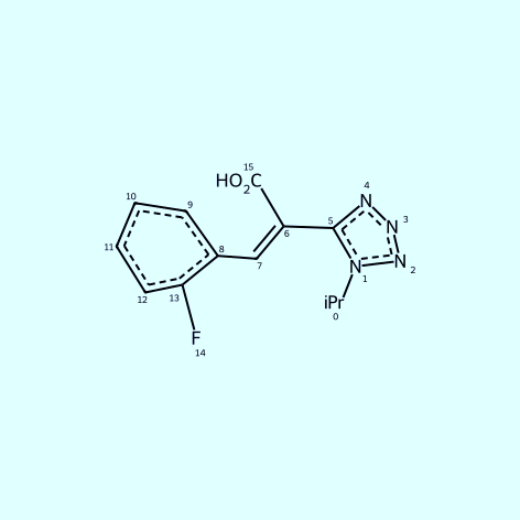 CC(C)n1nnnc1C(=Cc1ccccc1F)C(=O)O